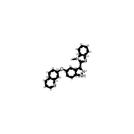 Cn1c(-c2n[nH]c3ccc(Oc4ccc5cccnc5c4)cc23)nc2ccccc21